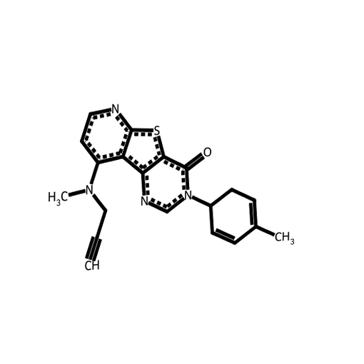 C#CCN(C)c1ccnc2sc3c(=O)n(C4C=CC(C)=CC4)cnc3c12